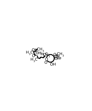 CC[C@H](O)[C@](C)(O)[C@H]1O[C@@H]1C[C@H](C)/C=C/C=C(\C)[C@H]1OC(=O)C[C@H](O)CC[C@@](C)(O)[C@@H](OC(C)=O)CC[C@@H]1C